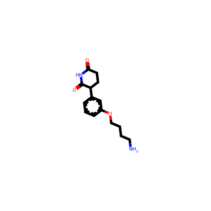 NCCCCOc1cccc(C2CCC(=O)NC2=O)c1